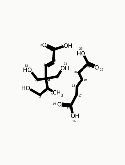 CC(CO)C(C=CC(=O)O)(CO)CO.O=C(O)CCCCC(=O)O